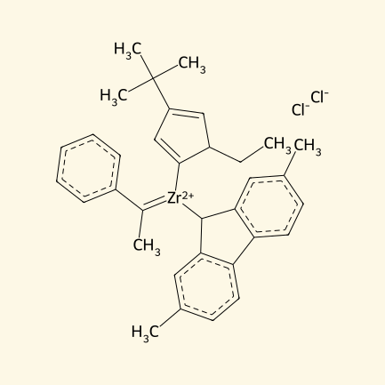 CCC1C=C(C(C)(C)C)C=[C]1/[Zr+2](=[C](/C)c1ccccc1)[CH]1c2cc(C)ccc2-c2ccc(C)cc21.[Cl-].[Cl-]